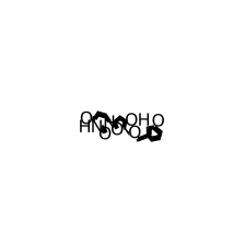 COc1cccc(COC[C@H]2O[C@@H](n3ccc(=O)[nH]c3=O)C[C@@H]2O)c1